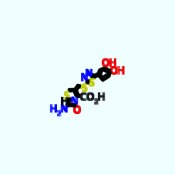 NC1C(=O)N2C(C(=O)O)=C(CSc3nnc(-c4ccc(O)c(O)c4)s3)CS[C@@H]12